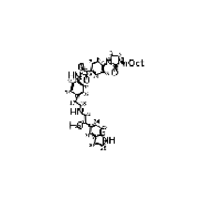 CCCCCCCCN1CCN(c2ccc(S(=O)(=O)Nc3ccc(CCNCC(O)c4ccc5[nH]ccc5c4)cc3)cc2)C1=O